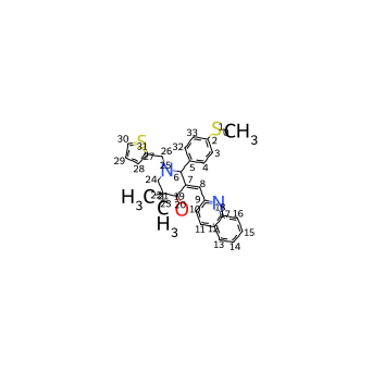 CSc1ccc(C2/C(=C/c3ccc4ccccc4n3)C(=O)C(C)(C)CN2Cc2cccs2)cc1